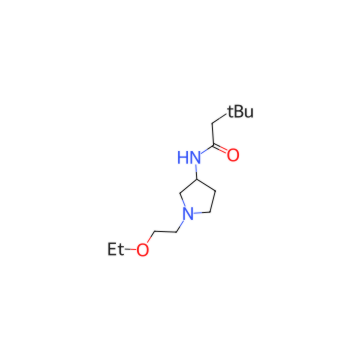 CCOCCN1CCC(NC(=O)CC(C)(C)C)C1